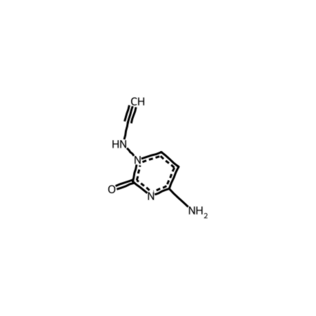 C#CNn1ccc(N)nc1=O